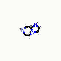 [c]1cncc2nccn12